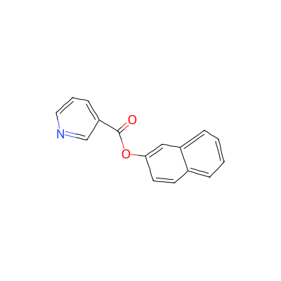 O=C(Oc1ccc2ccccc2c1)c1cccnc1